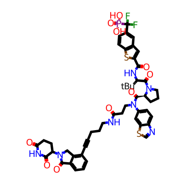 CC(C)(C)C(NC(=O)c1cc2cc(C(F)(F)P(=O)(O)O)ccc2s1)C(=O)N1CCC[C@H]1C(=O)N(CCC(=O)NCCCC#Cc1cccc2c1CN(C1CCC(=O)NC1=O)C2=O)c1ccc2ncsc2c1